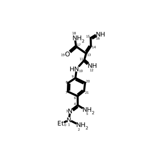 CCN(N)/N=C(\N)c1ccc(NC(=N)/C(=C/C=N)C(N)=O)cc1